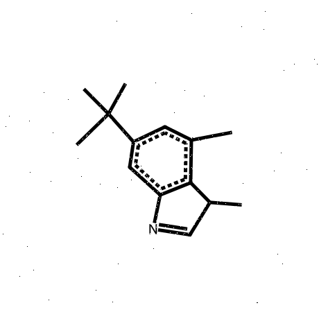 Cc1cc(C(C)(C)C)cc2c1C(C)C=N2